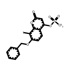 O=c1cc(OS(=O)(=O)C(F)(F)F)c2ccc(OCc3ccccc3)c(I)c2o1